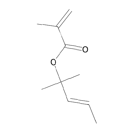 C=C(C)C(=O)OC(C)(C)C=CC